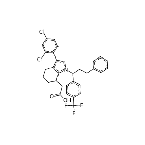 O=C(O)CC1CCCc2c(-c3ccc(Cl)cc3Cl)cn(C(CCc3ccccc3)c3ccc(C(F)(F)F)cc3)c21